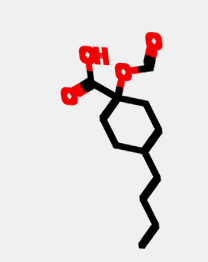 CCCCC1CCC(OC=O)(C(=O)O)CC1